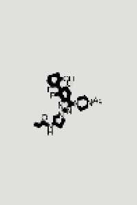 C=CC(=O)NC1CCN(c2nc(N3CCN(C(C)=O)CC3)c3cc(Cl)c(-c4c(O)cccc4F)c(F)c3n2)C1